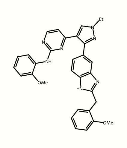 CCn1cc(-c2ccnc(Nc3ccccc3OC)n2)c(-c2ccc3[nH]c(Cc4ccccc4OC)nc3c2)n1